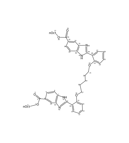 CCCCCCCCOC(=O)c1ccc2[nH]c(-c3ccccc3OCCCCCOc3ccccc3-c3nc4cc(C(=O)OCCCCCCCC)ccc4[nH]3)nc2c1